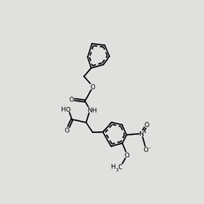 COc1cc(CC(NC(=O)OCc2ccccc2)C(=O)O)ccc1[N+](=O)[O-]